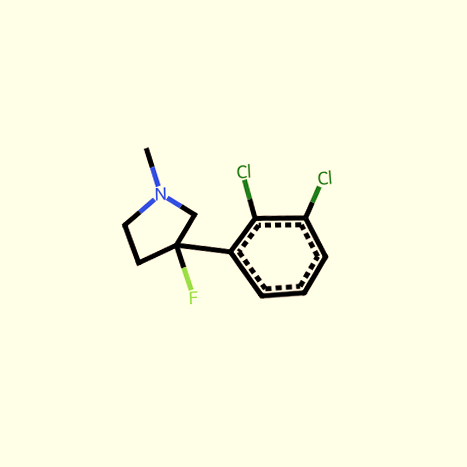 CN1CCC(F)(c2cccc(Cl)c2Cl)C1